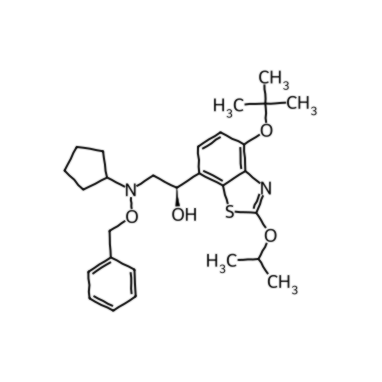 CC(C)Oc1nc2c(OC(C)(C)C)ccc([C@@H](O)CN(OCc3ccccc3)C3CCCC3)c2s1